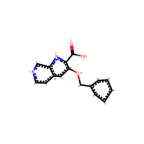 O=C(O)c1nc2cnccc2cc1OCc1ccccc1